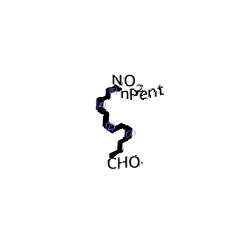 CCCCC/C(=C\C/C=C\C/C=C\C/C=C\CCC[C]=O)[N+](=O)[O-]